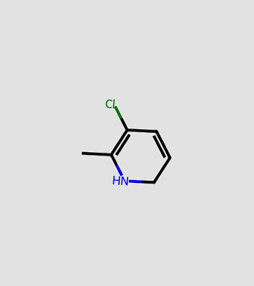 CC1=C(Cl)C=CCN1